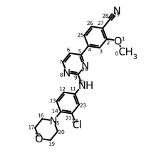 COc1cc(-c2ccnc(Nc3ccc(N4CCOCC4)c(Cl)c3)n2)ccc1C#N